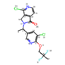 CC(c1cnc(OCC(C)(F)F)c(Cl)c1)N1Cc2c(ccnc2Cl)C1=O